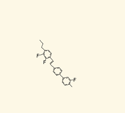 CCCc1ccc(/C=C/c2ccc(-c3ccc(C)c(F)c3)cc2)c(F)c1F